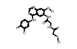 CCOc1cc2ncnc(Nc3ccc(F)c(Cl)c3)c2cc1NC(=O)CNC(=O)CSCC